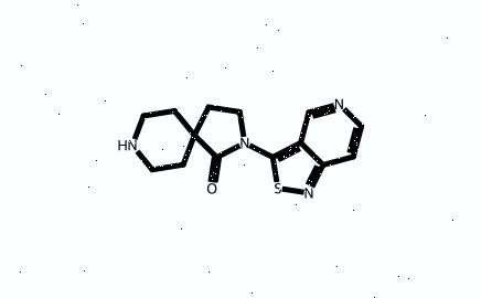 O=C1N(c2snc3ccncc23)CCC12CCNCC2